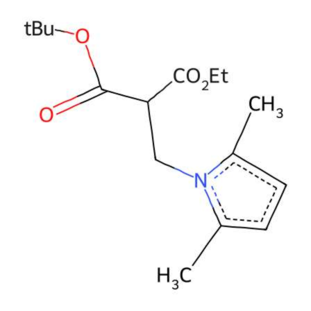 CCOC(=O)C(Cn1c(C)ccc1C)C(=O)OC(C)(C)C